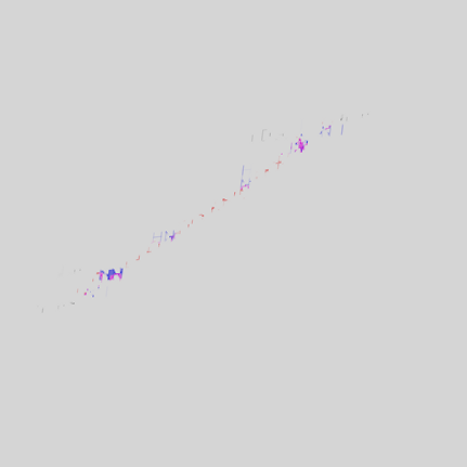 CCCCCCCCCCCCCC(=O)NCCCC[C@@H](NC(=O)CCCCCCCCCCCCC)C(=O)NCCCOCCOCCOCCCNC(=O)CCOCCOCCOCCOCCOCCC(=O)NCCCOCCOCCOCCCNC(=O)[C@@H](CCCCNC(=O)CCCCCCCCCCCCC)NC(=O)CCCCCCCCCCCCC